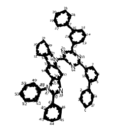 c1ccc(-c2cccc(-c3nc(-c4cccc(-c5ccccc5)c4)nc(-n4c5ccccc5c5cc6c(cc54)nc(-c4ccccc4)n6-c4ccccc4)n3)c2)cc1